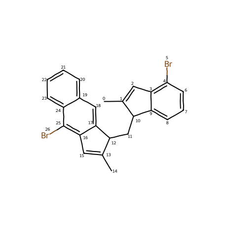 CC1=Cc2c(Br)cccc2C1CC1C(C)=Cc2c1cc1ccccc1c2Br